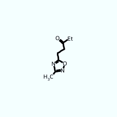 CCC(=O)CCc1nc(C)no1